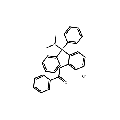 CN(C)[P+](c1ccccc1)(c1ccccc1)c1ccccc1CC(=O)c1ccccc1.[Cl-]